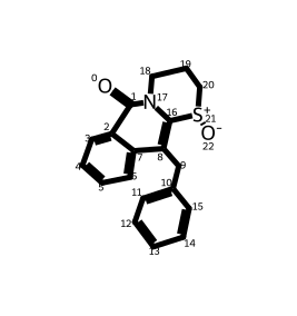 O=c1c2ccccc2c(Cc2ccccc2)c2n1CCC[S+]2[O-]